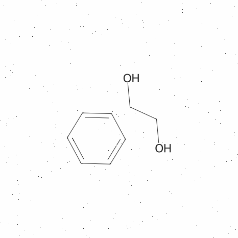 OCCO.c1ccccc1